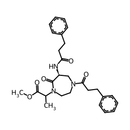 COC(=O)C(C)N1CCN(C(=O)CCc2ccccc2)C[C@H](NC(=O)CCc2ccccc2)C1=O